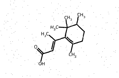 CC1=C(/C(C)=C/C(=O)O)C(C)(C)C(C)CC1